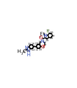 CCN1C(C(=O)N2CCOc3ccc(-c4ccc5nc(C)[nH]c5c4)cc3C2)=CC2C=CC=C(F)C21